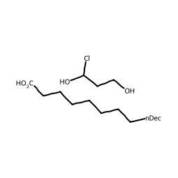 CCCCCCCCCCCCCCCCCC(=O)O.OCCC(O)Cl